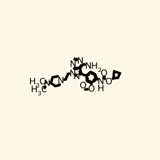 CN(C)C1CCN(CCn2nc(-c3ccc(NC(=O)OC4CCC4)c4c3OCO4)c3c(N)ncnc32)CC1